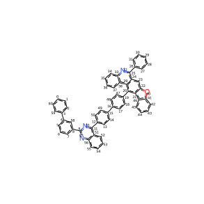 c1ccc(-c2cccc(-c3nc(-c4ccc(-c5ccc(-c6c7c(cc8c(-c9ccccc9)nc9ccccc9c68)oc6ccccc67)cc5)cc4)c4ccccc4n3)c2)cc1